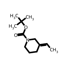 CC=C1CCCN(C(=O)OC(C)(C)C)C1